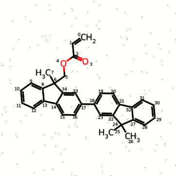 C=CC(=O)OCC1(C)c2ccccc2-c2ccc(-c3ccc4c(c3)C(C)(C)c3ccccc3-4)cc21